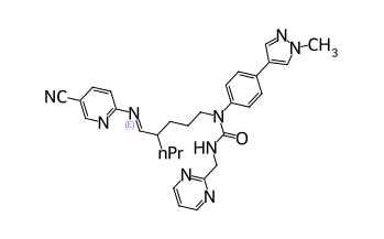 CCCC(/C=N/c1ccc(C#N)cn1)CCCN(C(=O)NCc1ncccn1)c1ccc(-c2cnn(C)c2)cc1